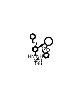 CC(C)(C)OC(=O)NC(=N)c1ccc(OCc2ccccc2)c(C#CC2CCCCCCCC2C(=O)OCc2ccccc2)c1